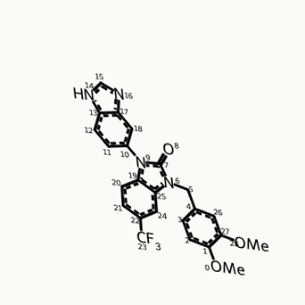 COc1ccc(Cn2c(=O)n(-c3ccc4[nH]cnc4c3)c3ccc(C(F)(F)F)cc32)cc1OC